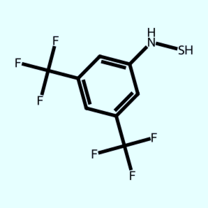 FC(F)(F)c1cc(NS)cc(C(F)(F)F)c1